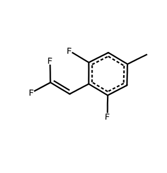 Cc1cc(F)c(C=C(F)F)c(F)c1